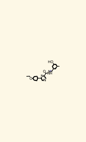 CCOc1ccc(-c2cncc(C(=O)N/N=C/c3cc(C)cc(O)c3)n2)cc1